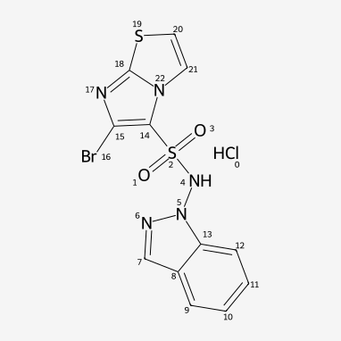 Cl.O=S(=O)(Nn1ncc2ccccc21)c1c(Br)nc2sccn12